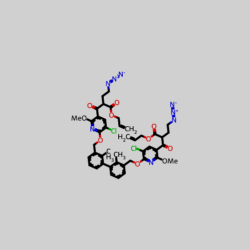 C=CCOC(=O)C(CCN=[N+]=[N-])C(=O)c1cc(Cl)c(OCc2cccc(-c3cccc(COc4nc(OC)c(C(=O)C(CCN=[N+]=[N-])C(=O)OCC=C)cc4Cl)c3C)c2C)nc1OC